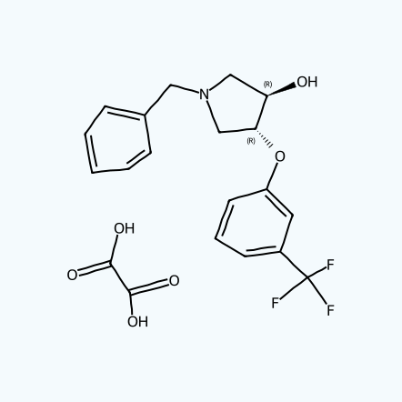 O=C(O)C(=O)O.O[C@@H]1CN(Cc2ccccc2)C[C@H]1Oc1cccc(C(F)(F)F)c1